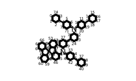 c1ccc(-c2ccc(N(c3ccc(-c4ccccc4)cc3)c3cccc(-c4cccc(N(c5ccc(-c6ccccc6)cc5)c5cccc6c5-c5ccccc5C65c6ccccc6-c6ccccc65)c4)c3)cc2)cc1